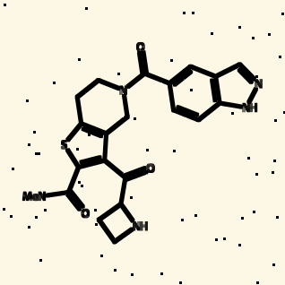 CNC(=O)c1sc2c(c1C(=O)C1CCN1)CN(C(=O)c1ccc3[nH]ncc3c1)CC2